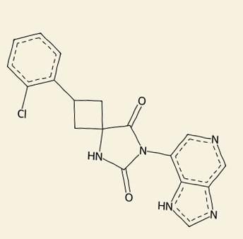 O=C1NC2(CC(c3ccccc3Cl)C2)C(=O)N1c1cncc2nc[nH]c12